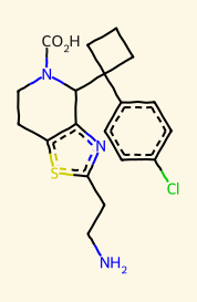 NCCc1nc2c(s1)CCN(C(=O)O)C2C1(c2ccc(Cl)cc2)CCC1